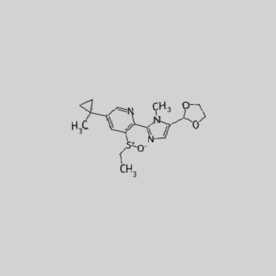 CC[S+]([O-])c1cc(C2(C)CC2)cnc1-c1ncc(C2OCCO2)n1C